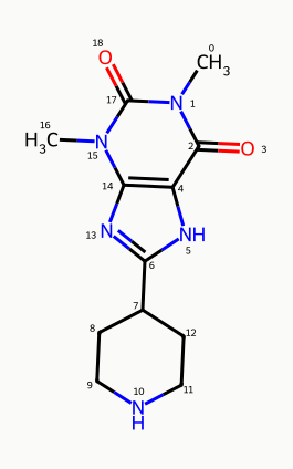 Cn1c(=O)c2[nH]c(C3CCNCC3)nc2n(C)c1=O